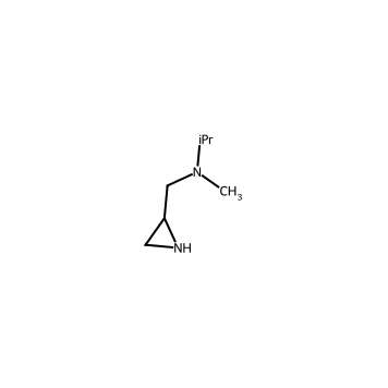 CC(C)N(C)CC1CN1